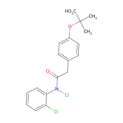 CC(C)(Oc1ccc(CC(=O)N(Cl)c2ccccc2Cl)cc1)C(=O)O